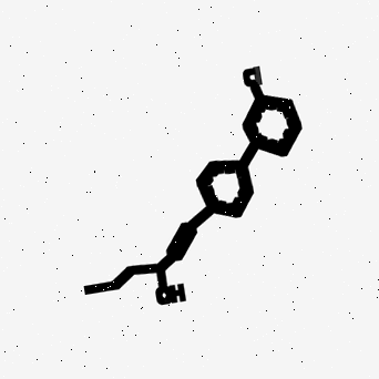 CCCC(O)C#Cc1ccc(-c2cccc(Cl)c2)cc1